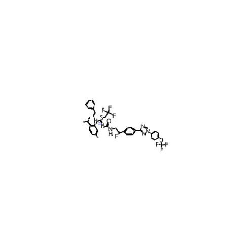 Cc1ccc(C(C)C)c(N(CCc2ccccc2)/C(=N/C(=O)NCC(F)c2ccc(-c3ncn(-c4ccc(OC(F)(F)F)cc4)n3)cc2)SCC(F)(F)F)c1